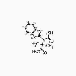 CC(C)(C(=O)O)C(C(=O)S)c1nc2ccccc2s1